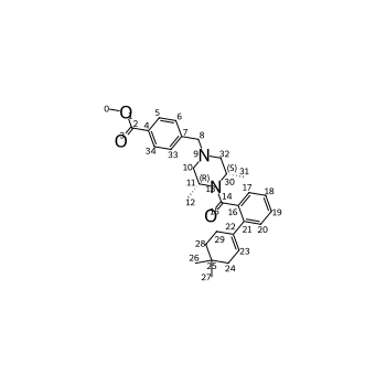 COC(=O)c1ccc(CN2C[C@@H](C)N(C(=O)c3ccccc3C3=CCC(C)(C)CC3)[C@@H](C)C2)cc1